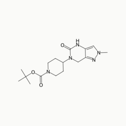 Cn1cc2c(n1)CN(C1CCN(C(=O)OC(C)(C)C)CC1)C(=O)N2